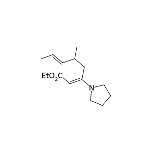 CC=CC(C)CC(=CC(=O)OCC)N1CCCC1